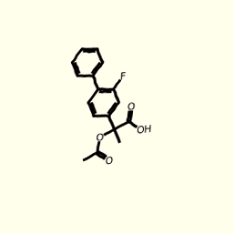 CC(=O)OC(C)(C(=O)O)c1ccc(-c2ccccc2)c(F)c1